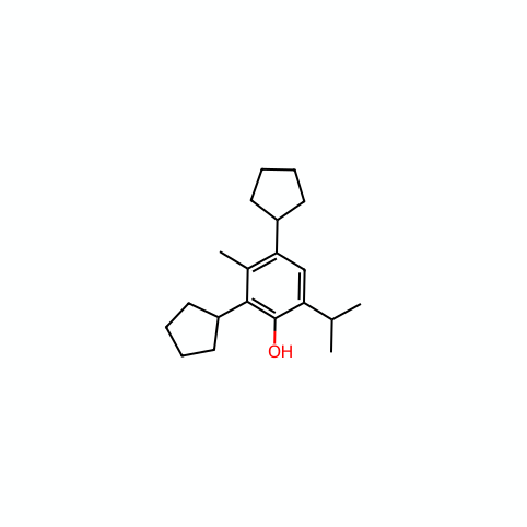 Cc1c(C2CCCC2)cc(C(C)C)c(O)c1C1CCCC1